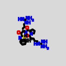 CC(=O)N[C@@H](CCCNC(=N)N)C(=O)N1CCC[C@H]1C(=O)N[C@@H](CCCNC(=N)N)C(=O)c1nc2ccccc2s1